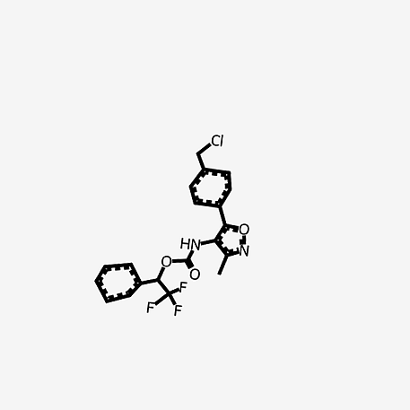 Cc1noc(-c2ccc(CCl)cc2)c1NC(=O)OC(c1ccccc1)C(F)(F)F